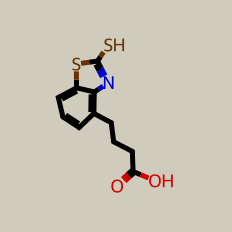 O=C(O)CCCc1cccc2sc(S)nc12